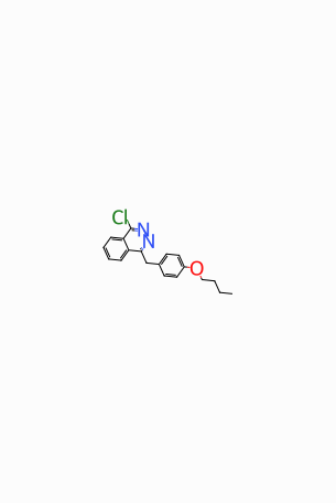 CCCCOc1ccc(Cc2nnc(Cl)c3ccccc23)cc1